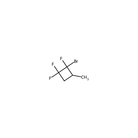 CC1CC(F)(F)C1(F)Br